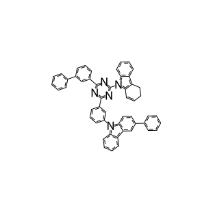 C1=Cc2c(c3ccccc3n2-c2nc(-c3cccc(-c4ccccc4)c3)nc(-c3cccc(-n4c5ccccc5c5cc(-c6ccccc6)ccc54)c3)n2)CC1